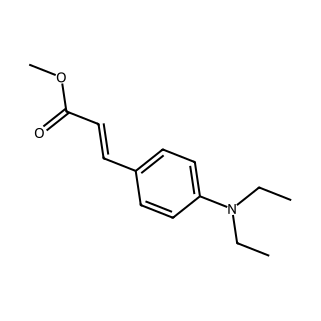 CCN(CC)c1ccc(C=CC(=O)OC)cc1